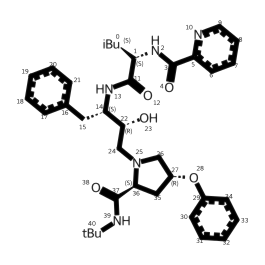 CC[C@H](C)[C@H](NC(=O)c1ccccn1)C(=O)N[C@@H](Cc1ccccc1)[C@H](O)CN1C[C@H](Oc2ccccc2)C[C@H]1C(=O)NC(C)(C)C